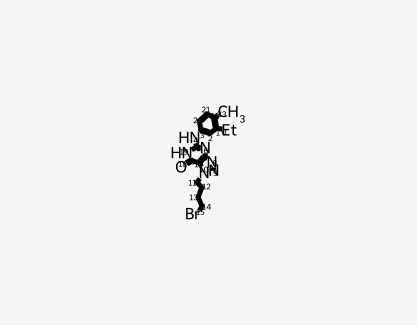 CCc1cc(Nc2nc3nnn(CCCCBr)c3c(=O)[nH]2)ccc1C